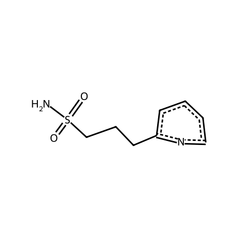 NS(=O)(=O)CCCc1ccccn1